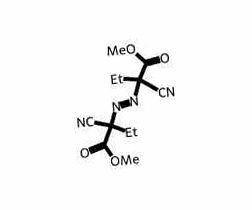 CCC(C#N)(/N=N/C(C#N)(CC)C(=O)OC)C(=O)OC